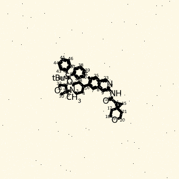 CC1(N2CCC(c3cc4cc(NC(=O)C5CC56CCOCC6)ncc4cc3F)CC2)COCC1O[Si](c1ccccc1)(c1ccccc1)C(C)(C)C